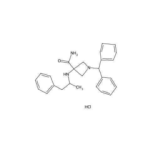 CC(Cc1ccccc1)NC1(C(N)=O)CN(C(c2ccccc2)c2ccccc2)C1.Cl